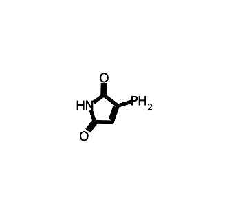 O=C1C=C(P)C(=O)N1